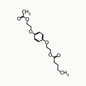 CCCCC(=O)OCCOc1ccc(OCCOC(C)=O)cc1